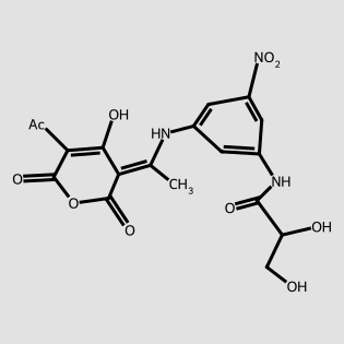 CC(=O)C1=C(O)C(=C(C)Nc2cc(NC(=O)C(O)CO)cc([N+](=O)[O-])c2)C(=O)OC1=O